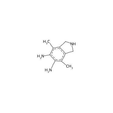 Cc1c(N)c(N)c(C)c2c1CNC2